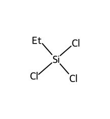 [CH2]C[Si](Cl)(Cl)Cl